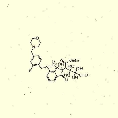 BC1(O)c2c(NCc3ccc(CN4CCOCC4)cc3F)cccc2C(=O)N1C(C(=O)NC)C(O)(O)C(O)(O)C=O